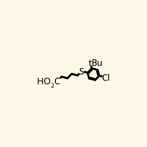 CC(C)(C)c1cc(Cl)ccc1SCCCCC(=O)O